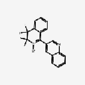 CC1(C)[N+]([O-])=C(c2cnc3ccccc3c2)c2ccccc2C1(F)F